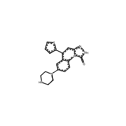 O=c1[nH]nc2cc(-c3cccs3)c3cc(N4CCNCC4)ccc3n12